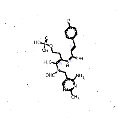 C/C(=C(CCOP(=O)(O)O)/[SH]=C(O)\C=C\c1ccc(Cl)cc1)N(C=O)Cc1cnc(C)nc1N